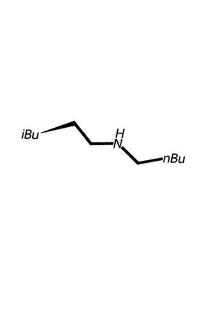 CCCCCNCC[C@H](C)CC